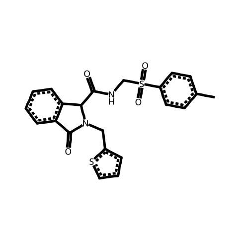 Cc1ccc(S(=O)(=O)CNC(=O)C2c3ccccc3C(=O)N2Cc2cccs2)cc1